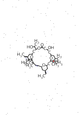 C/C=C1\CC2/C=C/C(C)(C)C3(O)OC(C/C(=C\C)C3C)CC(C(C)O)OC(=O)CC(O)CC3CC(C)C(C)(C)C(O)(CC(C1)O2)O3